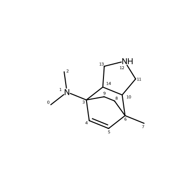 CN(C)C12C=CC(C)(CC1)C1CNCC12